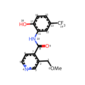 COCc1cnccc1C(=O)Nc1cc(C(F)(F)F)ccc1O